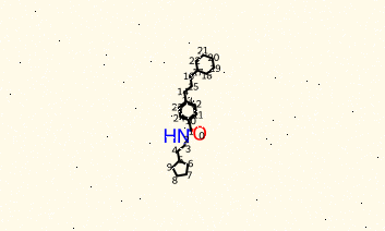 O=C(NCCC1CCCC1)c1ccc(CCCC2CCCCC2)cc1